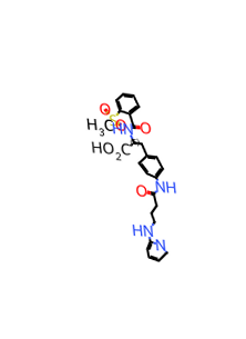 CS(=O)(=O)c1ccccc1C(=O)N[C@@H](Cc1ccc(NC(=O)CCCNc2ccccn2)cc1)C(=O)O